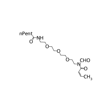 C/C=C\C(=O)N(C=O)CCOCCOCCOCCNC(=O)CCCCC